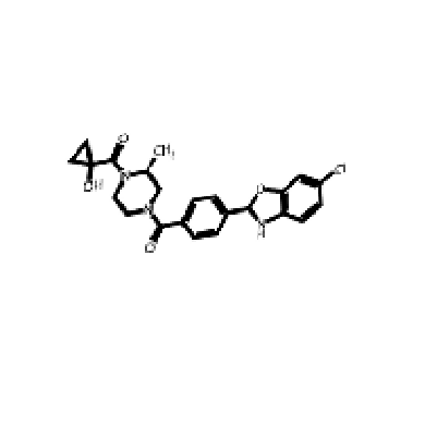 C[C@H]1CN(C(=O)c2ccc(C3Nc4ccc(Cl)cc4O3)cc2)CCN1C(=O)C1(O)CC1